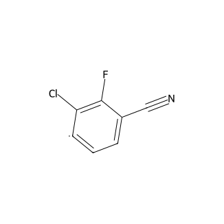 N#Cc1cc[c]c(Cl)c1F